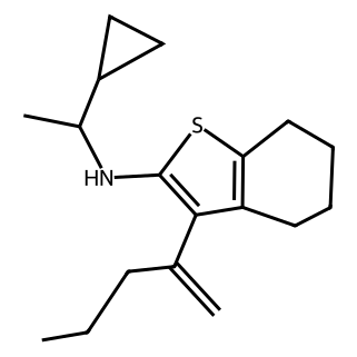 C=C(CCC)c1c(NC(C)C2CC2)sc2c1CCCC2